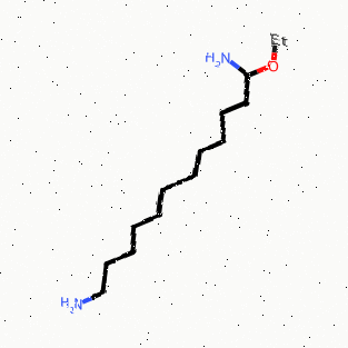 CCOC(N)CCCCCCCCCCCN